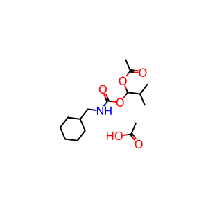 CC(=O)O.CC(=O)OC(OC(=O)NCC1CCCCC1)C(C)C